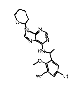 COc1c(Br)cc(Cl)cc1C(C)Nc1ncnc2c1ncn2C1CCCCO1